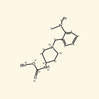 CC(C)N(C)c1ccccc1CN1CCC(NC(=O)OC(C)(C)C)CC1